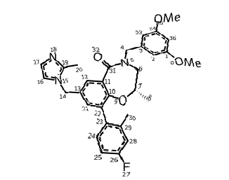 COc1cc(CN2C[C@H](C)Oc3c(cc(Cn4ccnc4C)cc3-c3ccc(F)cc3C)C2=O)cc(OC)c1